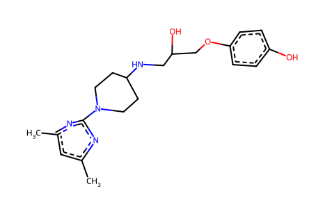 Cc1cc(C)nc(N2CCC(NCC(O)COc3ccc(O)cc3)CC2)n1